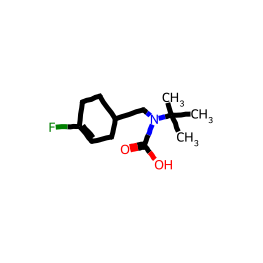 CC(C)(C)N(CC1CC=C(F)CC1)C(=O)O